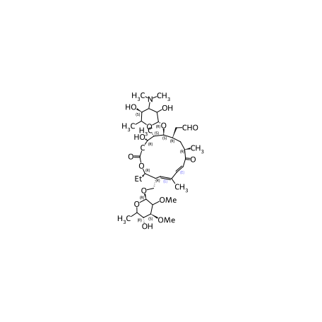 CC[C@H]1OC(=O)C[C@@H](O)[C@H](C)[C@@H](O[C@@H]2OC(C)[C@@H](O)C(N(C)C)C2O)[C@@H](CC=O)C[C@@H](C)C(=O)/C=C/C(C)=C/[C@@H]1CO[C@@H]1OC(C)[C@@H](O)[C@H](OC)C1OC